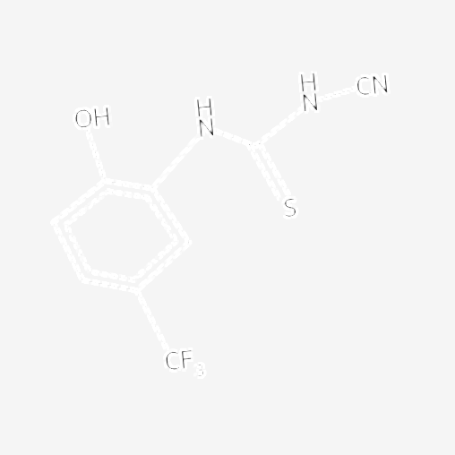 N#CNC(=S)Nc1cc(C(F)(F)F)ccc1O